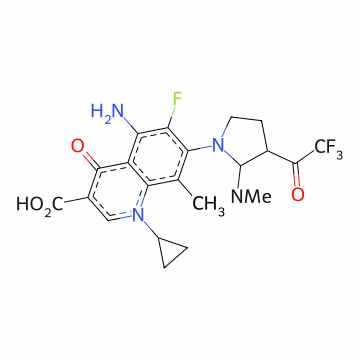 CNC1C(C(=O)C(F)(F)F)CCN1c1c(F)c(N)c2c(=O)c(C(=O)O)cn(C3CC3)c2c1C